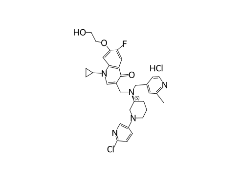 Cc1cc(CN(Cc2cn(C3CC3)c3cc(OCCO)c(F)cc3c2=O)[C@H]2CCCN(c3ccc(Cl)nc3)C2)ccn1.Cl